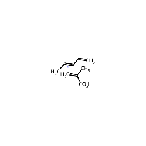 C=C(C)C(=O)O.C=C/C=C/C